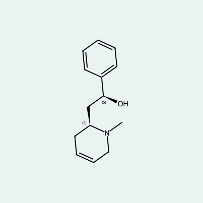 CN1CC=CC[C@H]1C[C@H](O)c1ccccc1